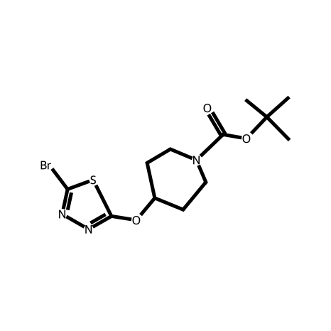 CC(C)(C)OC(=O)N1CCC(Oc2nnc(Br)s2)CC1